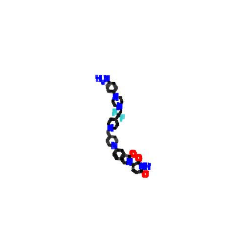 Nc1ccc(N2CCN(CC(F)(F)C3CCN(CC4CCN(c5ccc6c(c5)C(=O)N(C5CCC(=O)NC5=O)C6)CC4)CC3)CC2)cc1